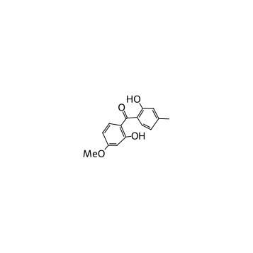 COc1ccc(C(=O)c2ccc(C)cc2O)c(O)c1